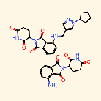 Nc1cccc2c1C(=O)N(C1CCC(=O)NC1=O)C2=O.O=C1CCC(N2C(=O)c3cccc(NCc4cnn(C5CCCC5)c4)c3C2=O)C(=O)N1